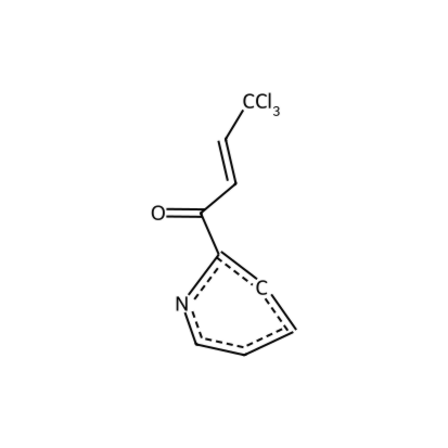 O=C(C=CC(Cl)(Cl)Cl)c1ccccn1